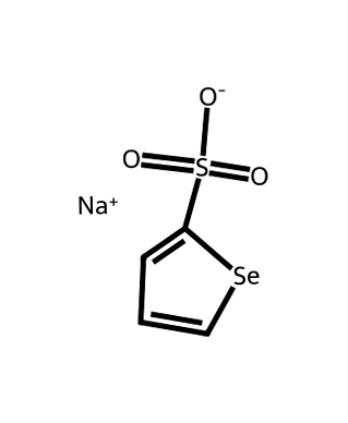 O=S(=O)([O-])c1ccc[se]1.[Na+]